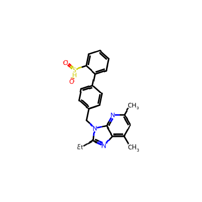 CCc1nc2c(C)cc(C)nc2n1Cc1ccc(-c2ccccc2[SH](=O)=O)cc1